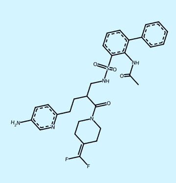 CC(=O)Nc1c(-c2ccccc2)cccc1S(=O)(=O)NCC(CCc1ccc(N)cn1)C(=O)N1CCC(=C(F)F)CC1